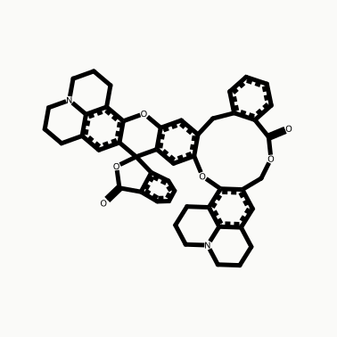 O=C1OCc2cc3c4c(c2Oc2cc5c(cc2Cc2ccccc21)Oc1c(cc2c6c1CCCN6CCC2)C51OC(=O)c2ccccc21)CCCN4CCC3